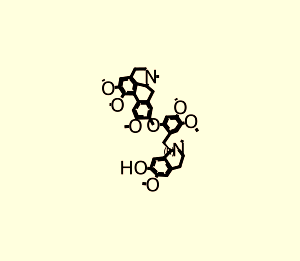 COc1cc2c(cc1O)[C@@H](Cc1cc(OC)c(OC)cc1Oc1cc3c(cc1OC)-c1c(OC)c(OC)cc4c1C(C3)N(C)CC4)N(C)CC2